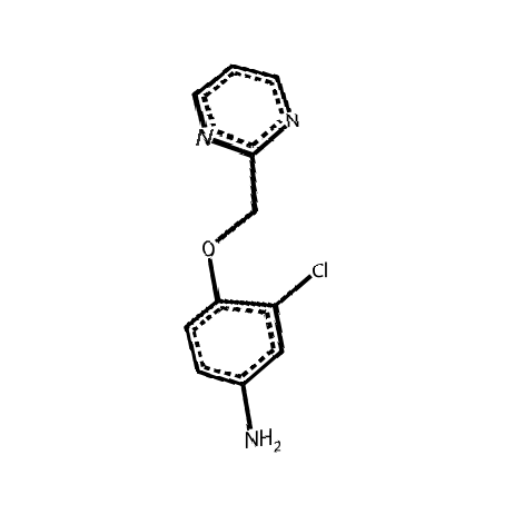 Nc1ccc(OCc2ncccn2)c(Cl)c1